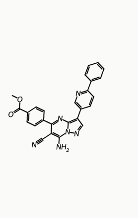 COC(=O)c1ccc(-c2nc3c(-c4ccc(-c5ccccc5)nc4)cnn3c(N)c2C#N)cc1